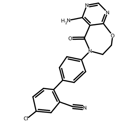 N#Cc1cc(Cl)ccc1-c1ccc(N2CCOc3ncnc(N)c3C2=O)cc1